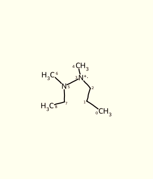 CCC[N+](C)N(C)CC